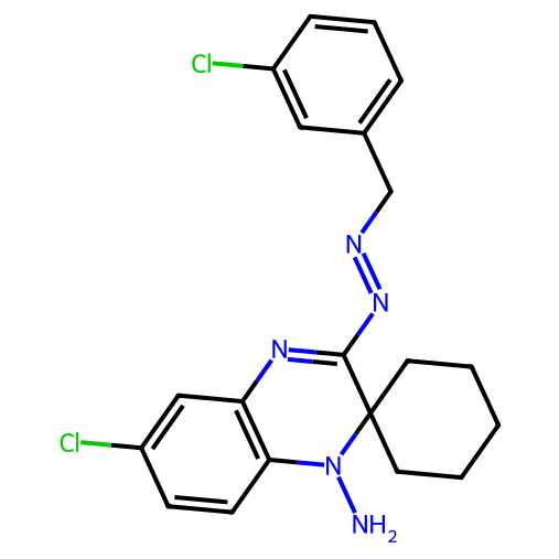 NN1c2ccc(Cl)cc2N=C(N=NCc2cccc(Cl)c2)C12CCCCC2